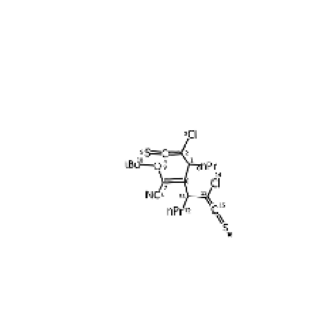 CCCC(C(Cl)=C=S)C(=C(C#N)OC(C)(C)C)C(CCC)C(Cl)=C=S